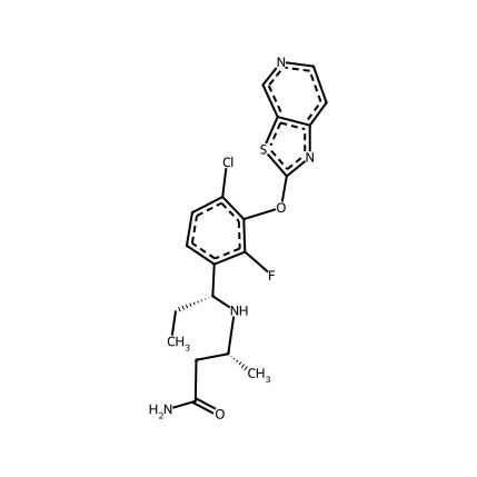 CC[C@@H](N[C@H](C)CC(N)=O)c1ccc(Cl)c(Oc2nc3ccncc3s2)c1F